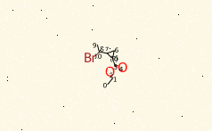 CCOC(=O)[C@@H]1CC1C(C)Br